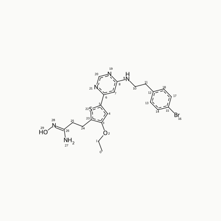 CCOc1cc(-c2cc(NCCc3ccc(Br)cc3)ncn2)sc1CC/C(N)=N/O